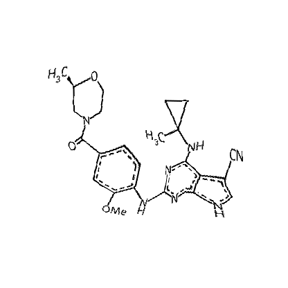 COc1cc(C(=O)N2CCO[C@H](C)C2)ccc1Nc1nc(NC2(C)CC2)c2c(C#N)c[nH]c2n1